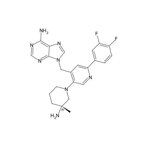 C[C@@]1(N)CCCN(c2cnc(-c3ccc(F)c(F)c3)cc2Cn2cnc3c(N)ncnc32)C1